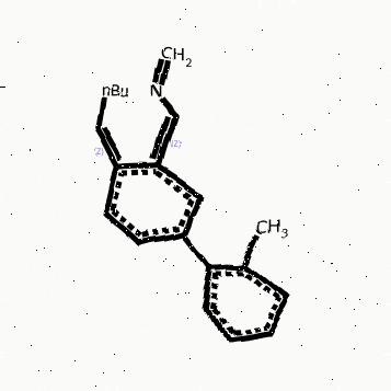 C=N/C=c1/cc(-c2ccccc2C)cc/c1=C/CCCC